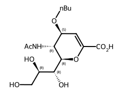 CCCCO[C@H]1C=C(C(=O)O)O[C@@H]([C@H](O)[C@H](O)CO)[C@@H]1NC(C)=O